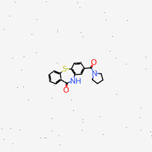 O=C1Nc2cc(C(=O)N3CCCC3)ccc2Sc2ccccc21